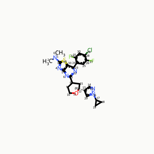 CN(C)c1nc2nc(C3CCO[C@@H](c4cnn(C5CC5)c4)C3)nc(-c3cc(F)c(Cl)cc3F)c2s1